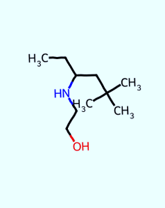 CCC(CC(C)(C)C)NCCO